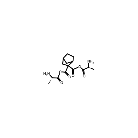 C[C@H](N)C(=O)OC(=O)C1(C(=O)OC(=O)[C@H](C)N)CC2CCC1C2